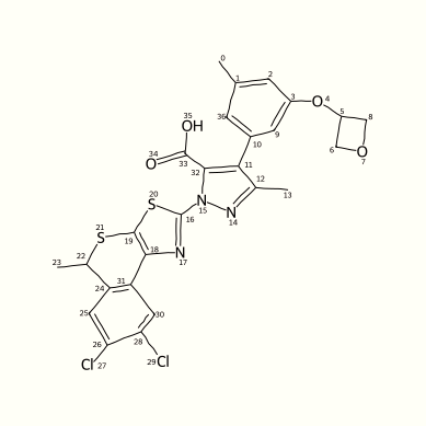 Cc1cc(OC2COC2)cc(-c2c(C)nn(-c3nc4c(s3)SC(C)c3cc(Cl)c(Cl)cc3-4)c2C(=O)O)c1